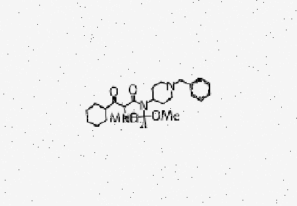 COC(C)(OC)N(C(=O)C(N)C(=O)C1CCCCC1)C1CCN(Cc2ccccc2)CC1